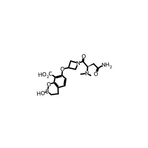 CN(C)[C@H](CC(N)=O)C(=O)N1CC(Oc2ccc3c(c2C(=O)O)OB(O)CC3)C1